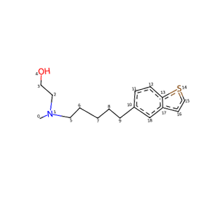 CN(CCO)CCCCCc1ccc2sccc2c1